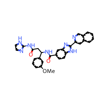 COc1cccc(C(CC(=O)Nc2ncc[nH]2)NC(=O)c2ccc3[nH]c(-c4cc5ccccc5cn4)nc3c2)c1